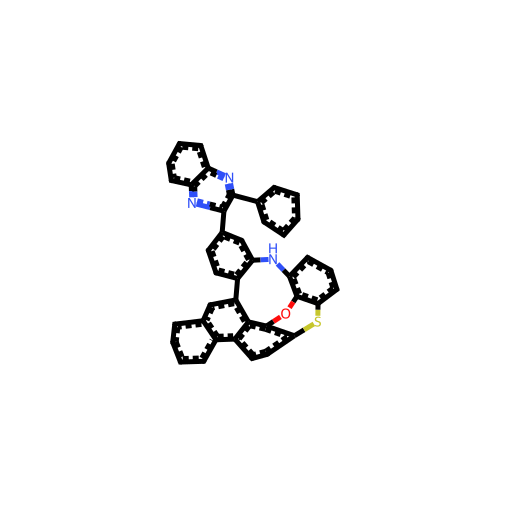 c1ccc(-c2nc3ccccc3nc2-c2ccc3c(c2)Nc2cccc4c2Oc2c(ccc5c2c-3cc2ccccc25)S4)cc1